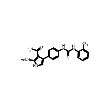 CC(=O)Nc1[nH]cc(-c2ccc(NC(=O)Nc3ccccc3C(F)(F)F)cc2)c1C(N)=O